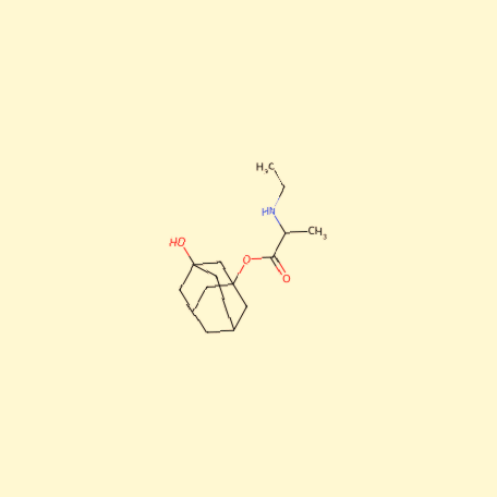 CCNC(C)C(=O)OC12CC3CC(CC(O)(C3)C1)C2